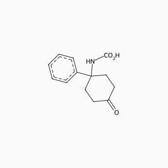 O=C1CCC(NC(=O)O)(c2ccccc2)CC1